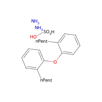 CCCCCc1ccccc1Oc1ccccc1CCCCC.N.N.O=S(=O)(O)O